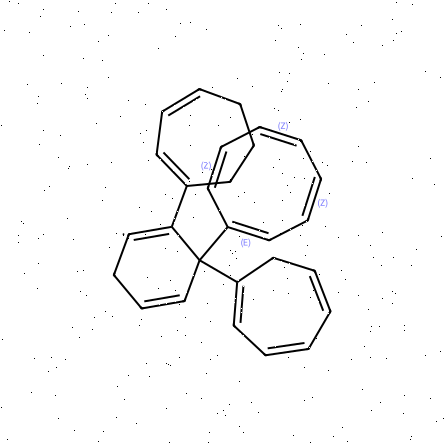 [C]1=C(C2=CC=CCCC2)C(C2=CC=CC=CC2)(C2=C/C=C\C=C/C=C\2)C=CC1